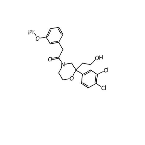 CC(C)Oc1cccc(CC(=O)N2CCOC(CCO)(c3ccc(Cl)c(Cl)c3)C2)c1